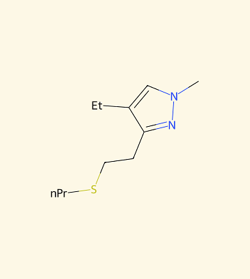 CCCSCCc1nn(C)cc1CC